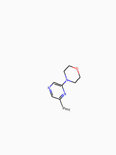 CCCC(C)c1cncc(N2CCOCC2)n1